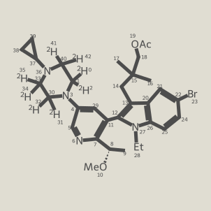 [2H]C1([2H])N(c2cnc([C@H](C)OC)c(-c3c(CC(C)(C)COC(C)=O)c4cc(Br)ccc4n3CC)c2)C([2H])([2H])C([2H])([2H])N(C2CC2)C1([2H])[2H]